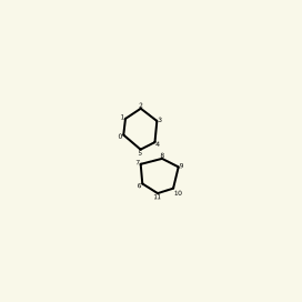 C1CCCCC1.C1CCCCC1